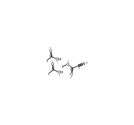 CC(=O)O.CC(=O)O.COC(=O)C#N